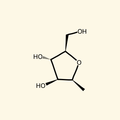 C[C@@H]1O[C@H](CO)[C@@H](O)[C@@H]1O